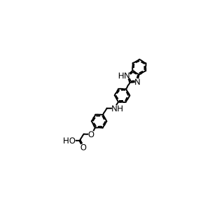 O=C(O)COc1ccc(CNc2ccc(-c3nc4ccccc4[nH]3)cc2)cc1